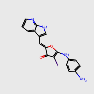 Nc1ccc(NC2=C(I)C(=O)/C(=C/c3c[nH]c4ncccc34)O2)cc1